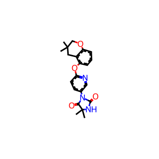 CC1(C)COc2cccc(Oc3ccc(N4C(=O)NC(C)(C)C4=O)cn3)c2C1